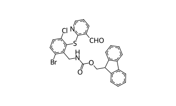 O=Cc1cccnc1Sc1c(Cl)ccc(Br)c1CNC(=O)OCC1c2ccccc2-c2ccccc21